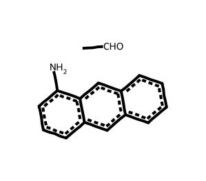 CC=O.Nc1cccc2cc3ccccc3cc12